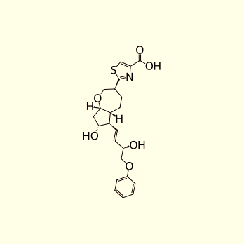 O=C(O)c1csc([C@H]2CC[C@@H]3[C@@H](C=C[C@@H](O)COc4ccccc4)[C@H](O)C[C@@H]3OC2)n1